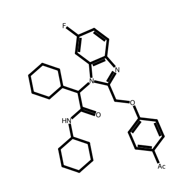 CC(=O)c1ccc(OCc2nc3ccc(F)cc3n2C(C(=O)NC2CCCCC2)C2CCCCC2)cc1